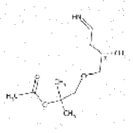 CC(=O)OC(C)(C)COC[C@@H](C)CC=N